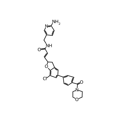 Nc1ccc(CNC(=O)C=CC2Cc3cc(-c4ccc(C(=O)N5CCOCC5)cc4)cc(Cl)c3O2)cn1